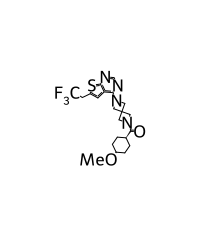 CO[C@H]1CC[C@@H](C(=O)N2CC3(CN(c4ncnc5sc(CC(F)(F)F)cc45)C3)C2)CC1